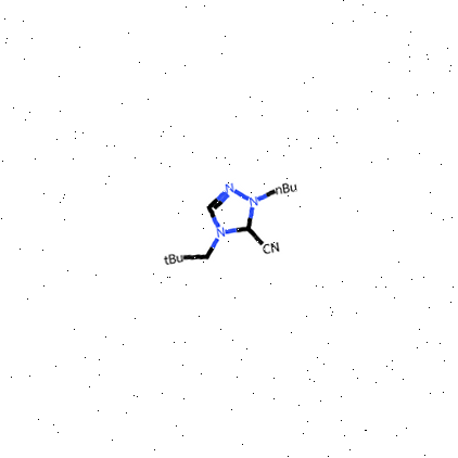 CCCCN1N=CN(CC(C)(C)C)C1C#N